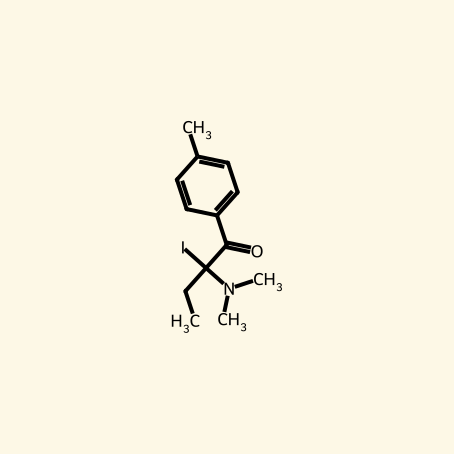 CCC(I)(C(=O)c1ccc(C)cc1)N(C)C